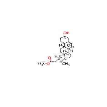 COC(=O)CC[C@@H](C)[C@H]1CC[C@H]2[C@@H]3CC=C4C[C@@H](O)CC[C@]4(C)[C@H]3CC[C@]12C